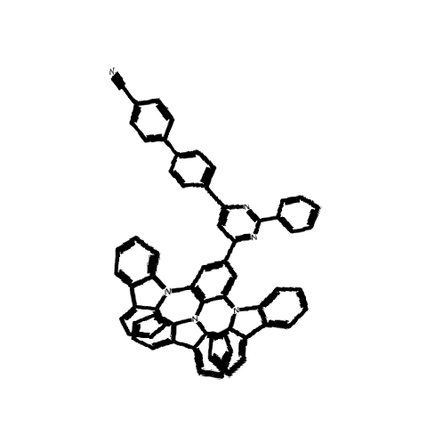 N#Cc1ccc(-c2ccc(-c3cc(-c4cc(-n5c6ccccc6c6ccccc65)c(-n5c6ccccc6c6ccccc65)c(-n5c6ccccc6c6ccccc65)c4)nc(-c4ccccc4)n3)cc2)cc1